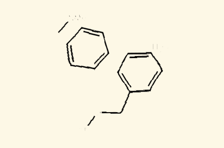 CCOCc1ccccc1.CNC.O.c1ccccc1